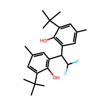 Cc1cc(C(c2cc(C)cc(C(C)(C)C)c2O)C(F)F)c(O)c(C(C)(C)C)c1